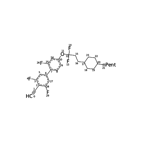 C#Cc1c(F)cc(-c2ccc(OC(F)(F)CCC3CCC(CCCCC)CC3)cc2F)cc1F